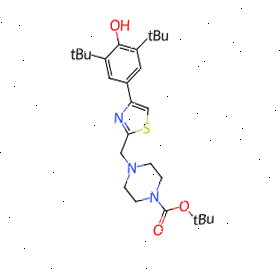 CC(C)(C)OC(=O)N1CCN(Cc2nc(-c3cc(C(C)(C)C)c(O)c(C(C)(C)C)c3)cs2)CC1